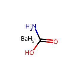 NC(=O)O.[BaH2]